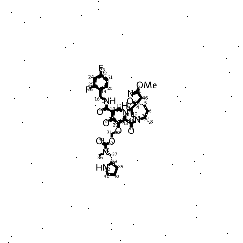 COC1=NO[C@@]2(CC[C@H](C)N3C[C@H]2n2cc(C(=O)NCc4ccc(F)cc4F)c(=O)c(OCOC(=O)N(C)C[C@@H]4CCCN4)c2C3=O)C1